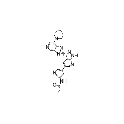 CCC(=O)Nc1cncc(-c2cnc3[nH]nc(-c4nc5c(N6CCCCC6)cncc5[nH]4)c3c2)c1